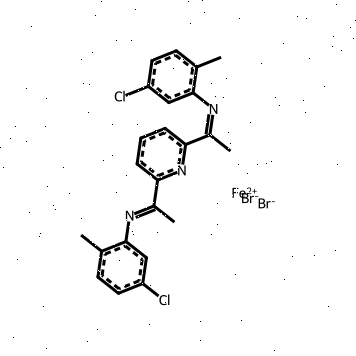 CC(=Nc1cc(Cl)ccc1C)c1cccc(C(C)=Nc2cc(Cl)ccc2C)n1.[Br-].[Br-].[Fe+2]